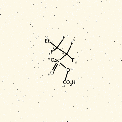 CCC(F)(F)C(F)(F)S(=O)(=O)OC(=O)O